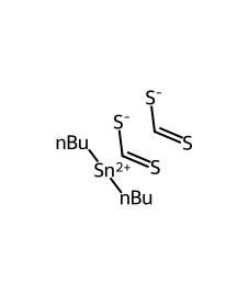 CCC[CH2][Sn+2][CH2]CCC.S=C[S-].S=C[S-]